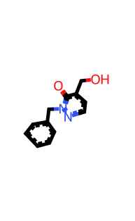 O=c1c(CO)ccnn1Cc1ccccc1